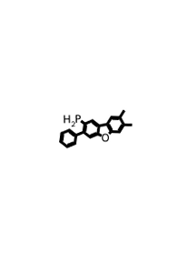 Cc1cc2oc3cc(-c4ccccc4)c(P)cc3c2cc1C